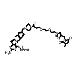 CCCCCNc1nc(N)nc2ccn(Cc3ccc(CN4CCN(C(=O)CCOCCOCCn5cc(CN6C(=O)CC(C)C6=O)nn5)CC4)cc3C)c12